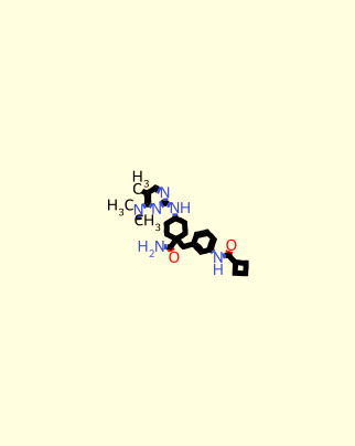 Cc1cnc(NC2CCC(Cc3cccc(NC(=O)C4CCC4)c3)(C(N)=O)CC2)nc1N(C)C